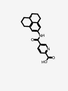 CC12CCCc3cc(NC(=O)c4ccc(C(=O)O)nc4)cc(c31)CCC2